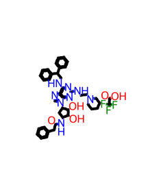 O=C(Cc1ccccc1)N[C@H]1C[C@@H](n2cnc3c(NCC(c4ccccc4)c4ccccc4)nc(NCCN4CCCCC4)nc32)[C@H](O)[C@@H]1O.O=C(O)C(F)(F)F